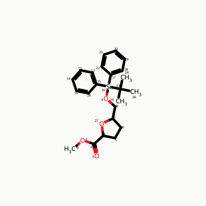 COC(=O)C1CCC(CO[Si](c2ccccc2)(c2ccccc2)C(C)(C)C)O1